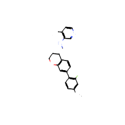 N#Cc1ccc(-c2ccc3c(c2)OCC[C@@H]3CNc2cnccc2C(=O)O)c(F)c1